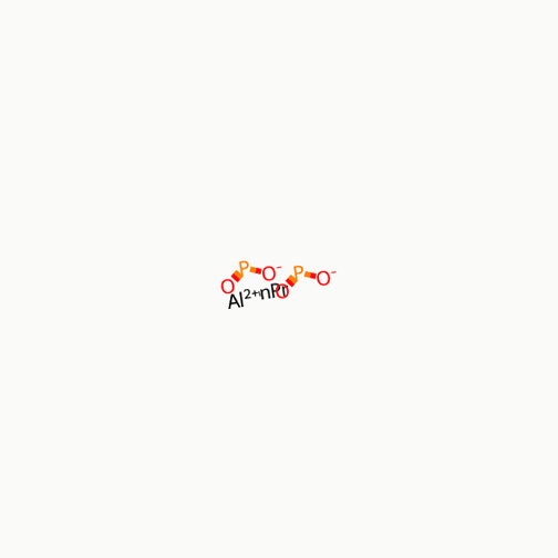 CC[CH2][Al+2].O=P[O-].O=P[O-]